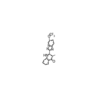 Cc1c(-c2nc3ccc(OC(F)(F)F)cn3n2)[nH]c2ccccc2c1=O